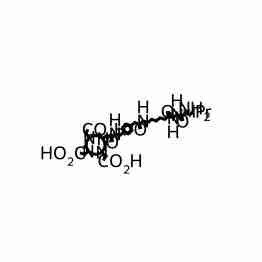 CC(C)C[C@@H](N)C(=O)NNC(=O)CCCCCNC(=O)Cc1ccc(CNC(=O)CN2CCN(CC(=O)O)CCN(CC(=O)O)CCN(CC(=O)O)CC2)cc1